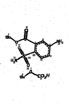 CC(C)(C)OC(=O)O.CC(C)(C)OC(=O)c1cc(N)ccc1S(N)(=O)=O